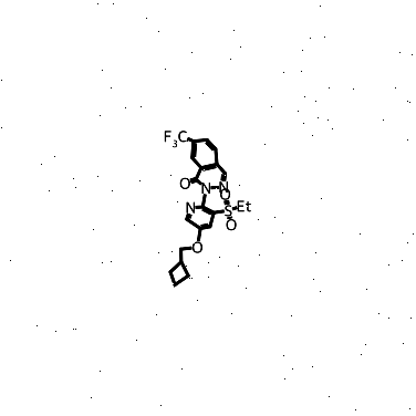 CCS(=O)(=O)c1cc(OCC2CCC2)cnc1-n1ncc2ccc(C(F)(F)F)cc2c1=O